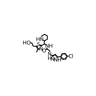 Cc1nc(C(NC(=O)CNc2cc(-c3ccc(Cl)cc3)[nH]n2)C2CCCCN2)sc1CCO